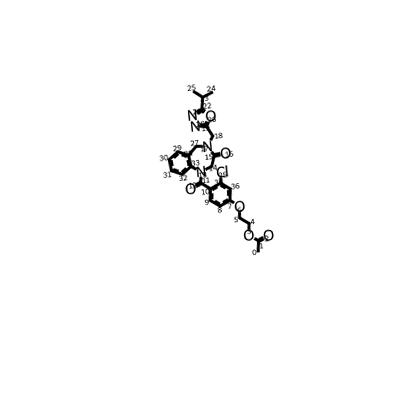 CC(=O)OCCOc1ccc(C(=O)N2CC(=O)N(Cc3nnc(C(C)C)o3)Cc3ccccc32)c(Cl)c1